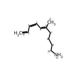 C=C/C=C\C=C(/C)CCCCN